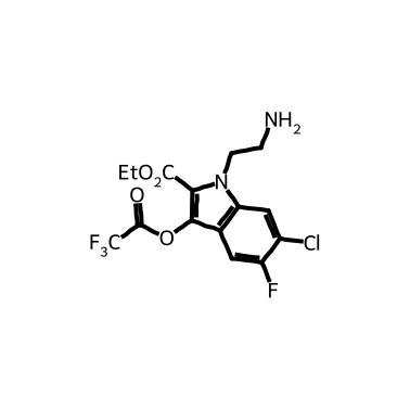 CCOC(=O)c1c(OC(=O)C(F)(F)F)c2cc(F)c(Cl)cc2n1CCN